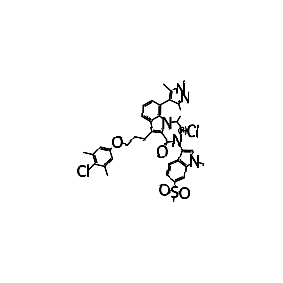 Cc1cc(OCCCc2c3n(c4c(-c5c(C)nn(C)c5C)cccc24)C(C)[C@@H](Cl)N(c2cn(C)c4cc(S(C)(=O)=O)ccc24)C3=O)cc(C)c1Cl